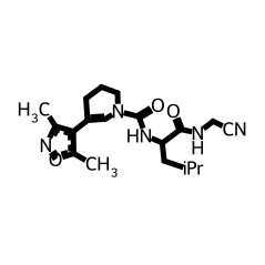 Cc1noc(C)c1C1=CN(C(=O)NC(CC(C)C)C(=O)NCC#N)CCC1